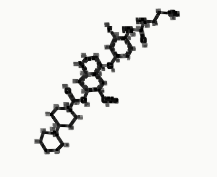 COc1cc2c(Oc3ccc(NC(=O)NCCC(C)(C)C)c(F)c3)ccnc2cc1OC(=O)N1CCC(N2CCCCC2)CC1